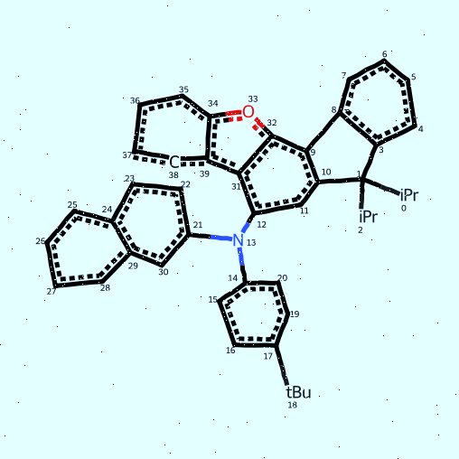 CC(C)C1(C(C)C)c2ccccc2-c2c1cc(N(c1ccc(C(C)(C)C)cc1)c1ccc3ccccc3c1)c1c2oc2ccccc21